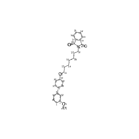 CCOc1cccc(-c2ccc(OCCCCCCCN3C(=O)c4ccccc4C3=O)cc2)c1